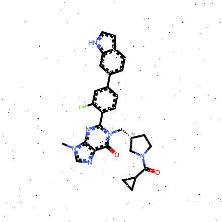 Cn1cnc2c(=O)n(C[C@@H]3CCN(C(=O)C4CC4)C3)c(-c3ccc(-c4ccc5cc[nH]c5c4)cc3F)nc21